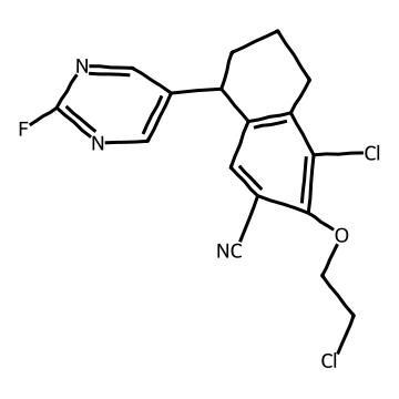 N#Cc1cc2c(c(Cl)c1OCCCl)CCCC2c1cnc(F)nc1